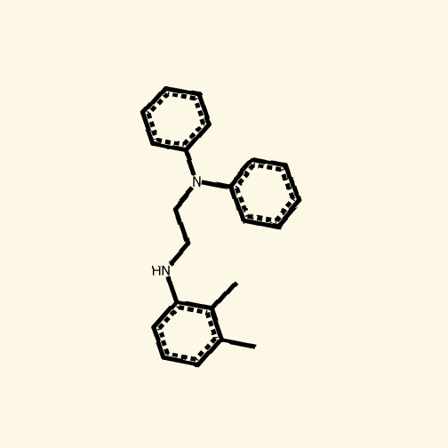 Cc1cccc(NCCN(c2ccccc2)c2ccccc2)c1C